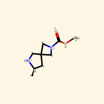 C[C@@H]1CC2(CN1)CN(C(=O)OC(C)(C)C)C2